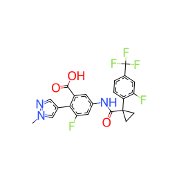 Cn1cc(-c2c(F)cc(NC(=O)C3(c4ccc(C(F)(F)F)cc4F)CC3)cc2C(=O)O)cn1